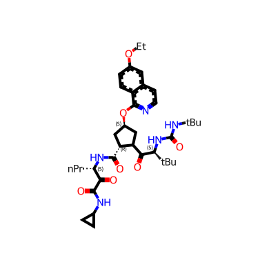 CCC[C@H](NC(=O)[C@@H]1C[C@@H](Oc2nccc3cc(OCC)ccc23)CC1C(=O)[C@@H](NC(=O)NC(C)(C)C)C(C)(C)C)C(=O)C(=O)NC1CC1